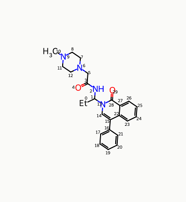 CCC(NC(=O)CN1CCN(C)CC1)n1cc(-c2ccccc2)c2ccccc2c1=O